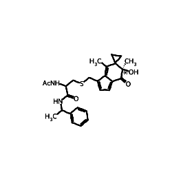 CC(=O)NC(CSCC1=CC=C2C(=O)[C@](C)(O)C3(CC3)C(C)=C12)C(=O)NC(C)c1ccccc1